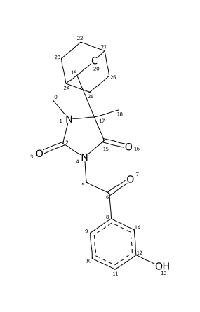 CN1C(=O)N(CC(=O)c2cccc(O)c2)C(=O)C1(C)C1CC2CCC1CC2